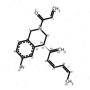 C=CC(=O)N1Cc2ccc(C(C)C)cc2[C@@H](C(=C)/C=C\C=C/C)C1